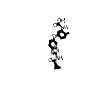 Cc1ccc(Oc2ccc3nc(NC(=O)C4CC4)nn3c2)cc1NC(=O)O